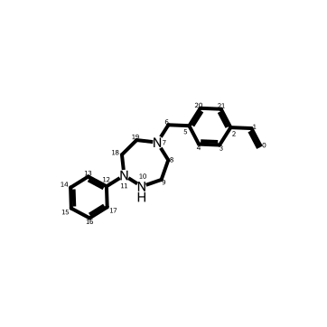 C=Cc1ccc(CN2CCNN(c3ccccc3)CC2)cc1